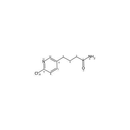 NC(=O)CCCc1ccc(Cl)nc1